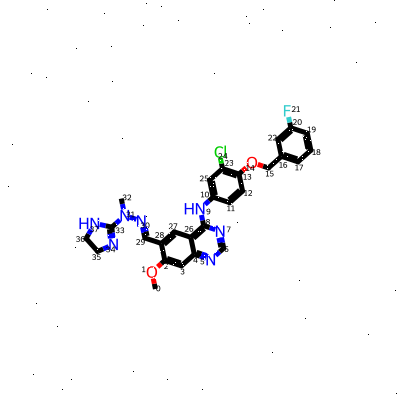 COc1cc2ncnc(Nc3ccc(OCc4cccc(F)c4)c(Cl)c3)c2cc1C=NN(C)C1=NCCN1